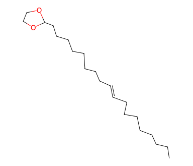 CCCCCCCCC=CCCCCCCCCC1OCCO1